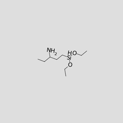 CCO[SiH](CCC(N)CC)OCC